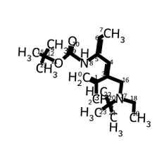 C=C(C)/C(=C\C(=C/C)NC(=O)OC(C)(C)C)CN(CC)C(C)(C)C